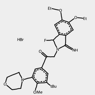 Br.CCOc1cc2c(cc1OCC)C(F)N(CC(=O)c1cc(N3CCOCC3)c(OC)c(C(C)(C)C)c1)C2=N